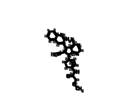 C#Cc1c(-c2cnc3ccccc3c2)c2c(N)ncnc2n1C12CCC(NC(=O)COC)(CC1)C2